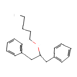 CCCCCOC(Cc1ccccc1)Cc1ccccc1